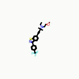 CCN(CCOC)C(C)(C)C#Cc1ccc2c(-c3ccc(C(F)(F)F)cc3)nsc2c1